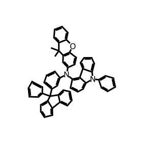 CC1(C)c2ccccc2Oc2ccc(N(c3cccc(C4(c5ccccc5)c5ccccc5-c5ccccc54)c3)c3cccc4c3c3ccccc3n4-c3ccccc3)cc21